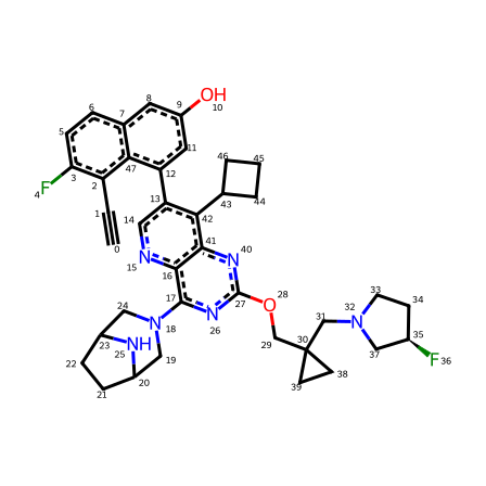 C#Cc1c(F)ccc2cc(O)cc(-c3cnc4c(N5CC6CCC(C5)N6)nc(OCC5(CN6CC[C@@H](F)C6)CC5)nc4c3C3CCC3)c12